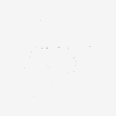 O=C1c2ccccc2C2(c3ccccc31)c1ccccc1N1c3ccccc3Sc3cccc2c31